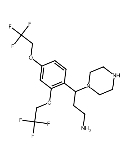 NCCC(c1ccc(OCC(F)(F)F)cc1OCC(F)(F)F)N1CCNCC1